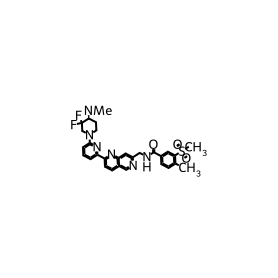 CN[C@H]1CCN(c2cccc(-c3ccc4cnc(CNC(=O)c5ccc(C)c(S(C)(=O)=O)c5)cc4n3)n2)CC1(F)F